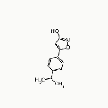 CC(C)c1ccc(-c2cc(O)no2)cc1